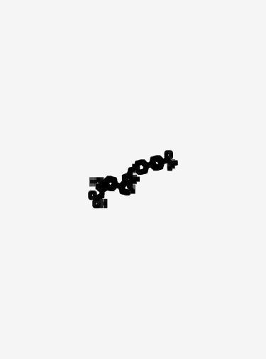 CN(C)C(=O)c1ccc(C2CCN(Cc3cc4c(-c5ccc6[nH]cc(CC(=O)O)c6c5)ccnc4n3C)CC2)cc1